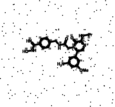 COc1cc(N)cc(-c2cnc(NC(C)C)c(=O)n2CC(=O)NCc2ccc(C(=N)NO)cc2)c1